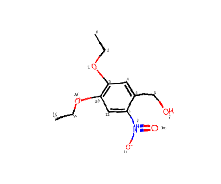 CCOc1cc(CO)c([N+](=O)[O-])cc1OCC